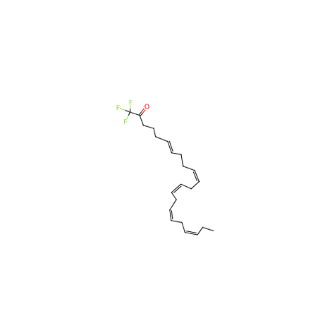 CC/C=C\C/C=C\C/C=C\C/C=C\CC/C=C/CCCC(=O)C(F)(F)F